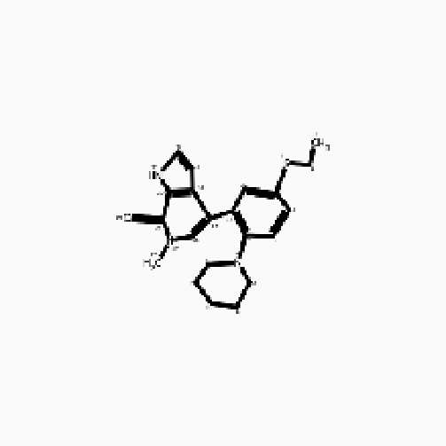 CCSc1ccc(N2CCCCC2)c(-c2cn(C)c(=O)c3[nH]ccc23)c1